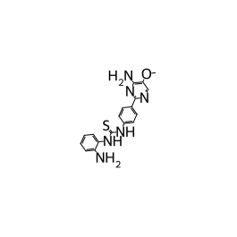 COc1cnc(-c2ccc(NC(=S)Nc3ccccc3N)cc2)nc1N